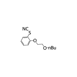 CCCCOCCOc1ccccc1SC#N